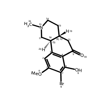 COc1cc2c(c(O)c1Br)C(=O)C[C@H]1CCN(C)C[C@H]21